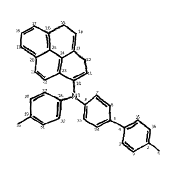 Cc1ccc(-c2ccc(N(C3=CCC4=CCc5cccc6ccc3c4c56)c3ccc(C)cc3)cc2)cc1